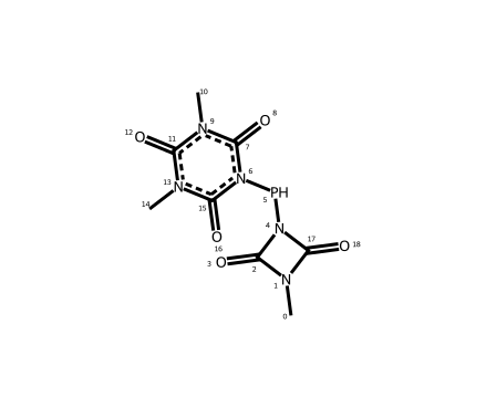 CN1C(=O)N(Pn2c(=O)n(C)c(=O)n(C)c2=O)C1=O